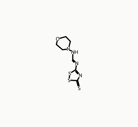 S=c1nc(/N=C/NN2CCOCC2)ss1